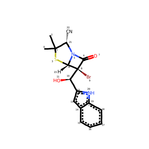 CC1(C)S[C@@H]2N(C(=O)[C@]2(Br)[C@H](O)c2cc3ccccc3[nH]2)[C@H]1C#N